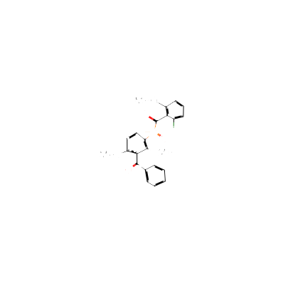 COc1cccc(Cl)c1C(=O)[PH](=O)c1ccc(OC)c(C(=O)c2ccccc2)c1OC